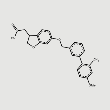 COc1ccc(-c2cccc(COc3ccc4c(c3)OCC4CS(=O)O)c2)c(C)c1